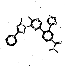 Cc1ncc(-c2ccc(C(=O)N(C)C)cc2-c2cnco2)nc1[C@H]1OC(c2ccccc2)=NN1C